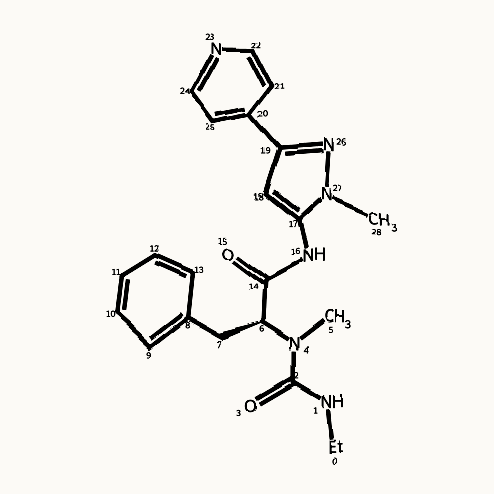 CCNC(=O)N(C)[C@@H](Cc1ccccc1)C(=O)Nc1cc(-c2ccncc2)nn1C